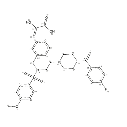 COc1ccc(S(=O)(=O)N(CCN2CCC(C(=O)c3ccc(F)cc3)CC2)Cc2ccccc2)cc1.O=C(O)C(=O)O